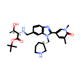 Cc1cc(-c2nc3ccc(CN[C@H](C(=O)OC(C)(C)C)[C@@H](C)O)cc3n2C[C@H]2CCCNC2)cn(C)c1=O